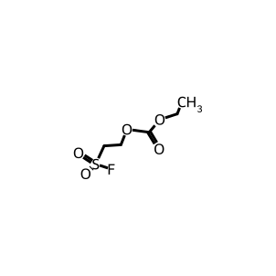 CCOC(=O)OCCS(=O)(=O)F